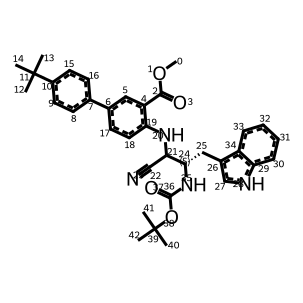 COC(=O)c1cc(-c2ccc(C(C)(C)C)cc2)ccc1NC(C#N)[C@H](Cc1c[nH]c2ccccc12)NC(=O)OC(C)(C)C